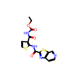 CCOC(=O)NC(=O)c1ccsc1NC(=O)c1nc2ccncc2s1